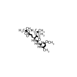 COC1C=C(C)NC(NC(=O)N[C@@H](CCC(=O)OC(C)(C)C)C(=O)OC(C)(C)C)=N1